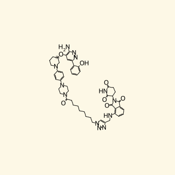 Nc1nnc(-c2ccccc2O)cc1O[C@@H]1CCCN(c2ccc(N3CCN(C(=O)CCCCCCCCn4cc(CNc5cccc6c5C(=O)N(C5CCC(=O)NC5=O)C6=O)nn4)CC3)cc2)C1